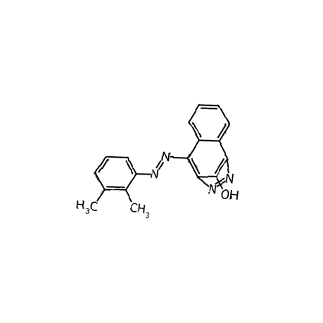 Cc1cccc(N=Nc2c3c(O)c(c4ccccc24)N=N3)c1C